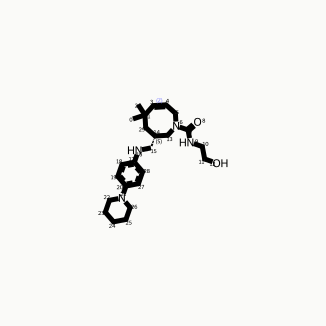 CC1(C)/C=C\CN(C(=O)NCCO)C[C@H](CNc2ccc(N3CCCCC3)cc2)C1